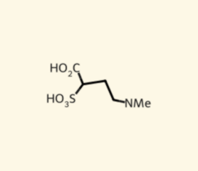 CNCCC(C(=O)O)S(=O)(=O)O